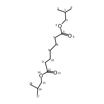 CC(C)COC(=O)CCCCCC(=O)OCC(C)C